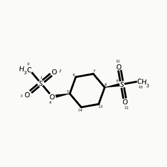 CS(=O)(=O)O[C@H]1CC[C@@H](S(C)(=O)=O)CC1